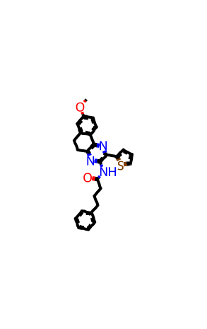 COc1ccc2c(c1)CCc1nc(NC(=O)CCCc3ccccc3)c(-c3cccs3)nc1-2